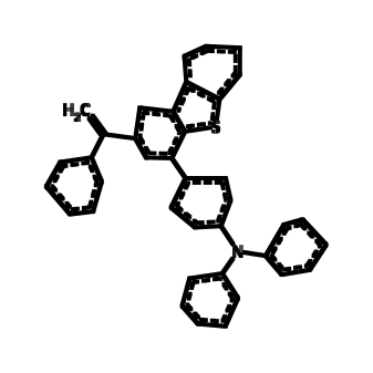 C=C(c1ccccc1)c1cc(-c2ccc(N(c3ccccc3)c3ccccc3)cc2)c2sc3ccccc3c2c1